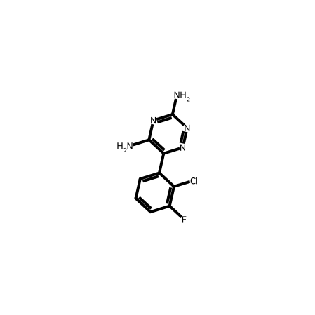 Nc1nnc(-c2cccc(F)c2Cl)c(N)n1